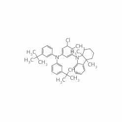 CC1C(N2c3ccccc3C3(C)CCCCC23C)=CC(N(c2cccc(C(C)(C)C)c2)c2cccc(C(C)(C)C)c2)=CC1Cl